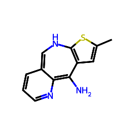 Cc1cc2c(s1)NC=c1cccnc1=C2N